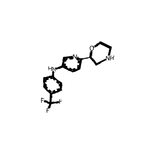 FC(F)(F)c1ccc(Nc2ccc([C@@H]3CNCCO3)nc2)cc1